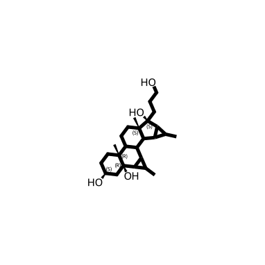 CC1C2C3C4C5C(C)C5[C@@](O)(CCCO)[C@@]4(C)CCC3[C@@]3(C)CC[C@H](O)C[C@@]3(O)C12